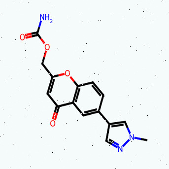 Cn1cc(-c2ccc3oc(COC(N)=O)cc(=O)c3c2)cn1